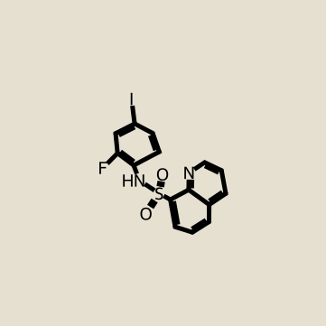 O=S(=O)(Nc1ccc(I)cc1F)c1cccc2cccnc12